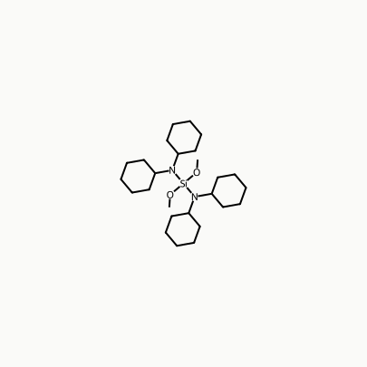 CO[Si](OC)(N(C1CCCCC1)C1CCCCC1)N(C1CCCCC1)C1CCCCC1